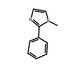 Cn1ccnc1-c1c[c]ccc1